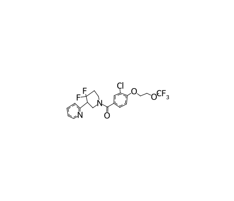 O=C(c1ccc(OCCOC(F)(F)F)c(Cl)c1)N1CCC(F)(F)C(c2ccccn2)C1